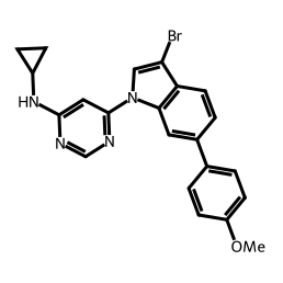 COc1ccc(-c2ccc3c(Br)cn(-c4cc(NC5CC5)ncn4)c3c2)cc1